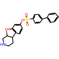 O=S(=O)(Oc1ccc2c(c1)OC1CNCCC21)c1ccc(-c2ccccc2)cc1